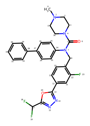 CN1CCN(C(=O)N(Cc2ccc(-c3nnc(C(F)F)o3)cc2F)c2ccc(-c3ccccc3)cc2)CC1